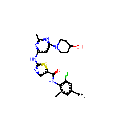 Bc1cc(C)c(NC(=O)c2cnc(Nc3cc(N4CCC(O)CC4)nc(C)n3)s2)c(Cl)c1